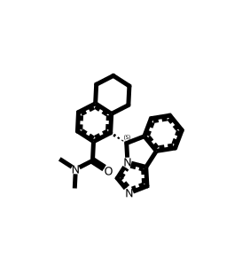 CN(C)C(=O)c1ccc2c(c1[C@@H]1c3ccccc3-c3cncn31)CCCC2